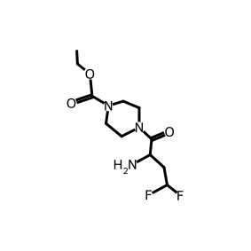 CCOC(=O)N1CCN(C(=O)C(N)CC(F)F)CC1